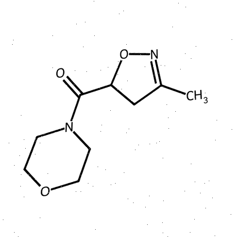 CC1=NOC(C(=O)N2CCOCC2)C1